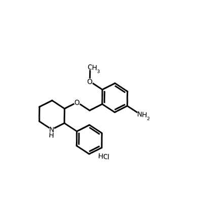 COc1ccc(N)cc1COC1CCCNC1c1ccccc1.Cl